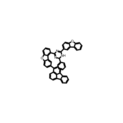 c1ccc(C2N=C(c3cccc4oc5ccc(-c6ccc7c8c(cccc68)-c6ccccc6-7)cc5c34)N=C(c3ccc4oc5ccccc5c4c3)N2)cc1